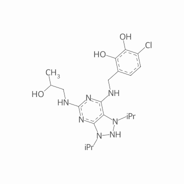 CC(O)CNc1nc(NCc2ccc(Cl)c(O)c2O)c2c(n1)N(C(C)C)NN2C(C)C